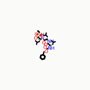 C=CS(=O)(=O)C(=O)[C@H](CC(C)C)NC(=O)[C@H](CC(C)C)NC(=O)[C@H](CC(C)C)NC(=O)OCc1ccccc1